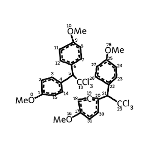 COc1ccc(C(c2ccc(OC)cc2)C(Cl)(Cl)Cl)cc1.COc1ccc(C(c2ccc(OC)cc2)C(Cl)(Cl)Cl)cc1